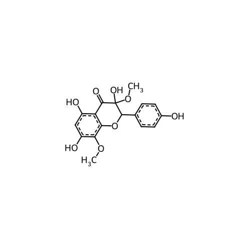 COc1c(O)cc(O)c2c1OC(c1ccc(O)cc1)C(O)(OC)C2=O